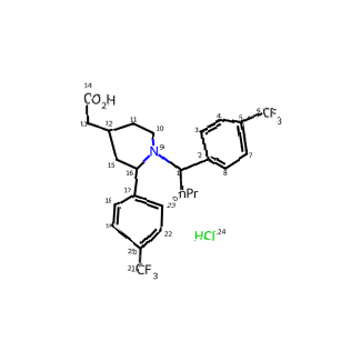 CCCC(c1ccc(C(F)(F)F)cc1)N1CCC(CC(=O)O)CC1c1ccc(C(F)(F)F)cc1.Cl